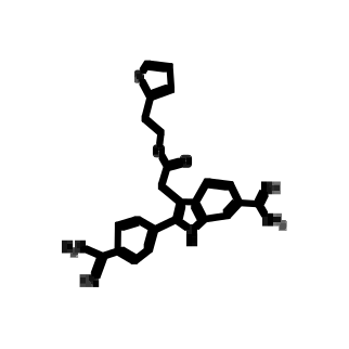 N=C(N)c1ccc(-c2[nH]c3cc(C(=N)N)ccc3c2CC(=O)OCCc2cccs2)cc1